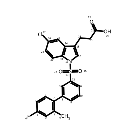 Cc1cc(F)ccc1-c1cccc(S(=O)(=O)n2cc(CCC(=O)O)c3cc(Cl)ccc32)c1